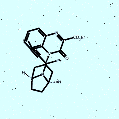 CCOC(=O)c1nc2ccccc2n([C@H]2C[C@H]3CC[C@@H](C2)N3C(C#CC(C)C)C(C)C)c1=O